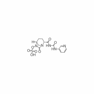 O=C(NC(=O)[C@@H]1CC[C@@H]2CN1C(=O)N2OS(=O)(=O)O)Nc1cccnc1